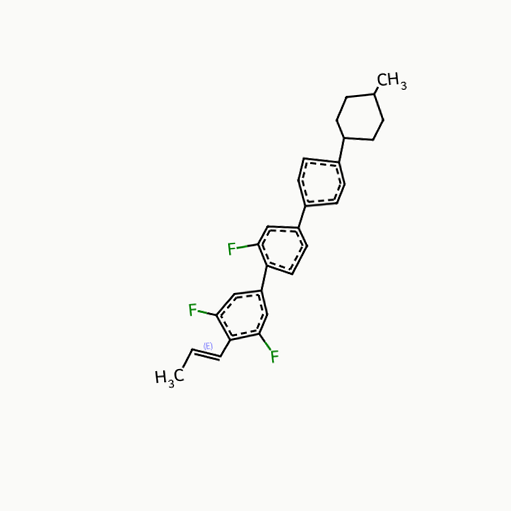 C/C=C/c1c(F)cc(-c2ccc(-c3ccc(C4CCC(C)CC4)cc3)cc2F)cc1F